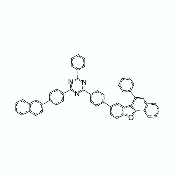 c1ccc(-c2nc(-c3ccc(-c4ccc5ccccc5c4)cc3)nc(-c3ccc(-c4ccc5oc6c7ccccc7cc(-c7ccccc7)c6c5c4)cc3)n2)cc1